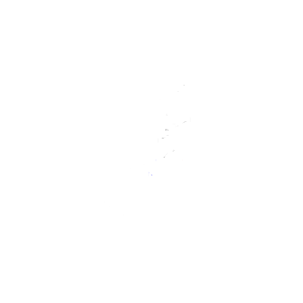 CC(C)(C)[Si](C)(C)O[C@H]1CC[C@@H]2[C@H](C1)CC1(OCCO1)[C@H]2/C=C/c1ccc(-c2cccc(F)c2)cn1